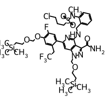 CN(c1ccccc1CNc1nc(-c2cc(F)c(OCOCC[Si](C)(C)C)cc2CC(F)(F)F)cc2c1c(C(N)=O)nn2COCC[Si](C)(C)C)S(=O)(=O)CCCCl